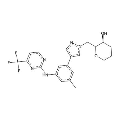 Cc1cc(Nc2nccc(C(F)(F)F)n2)cc(-c2cnn(CC3OCCC[C@@H]3O)c2)c1